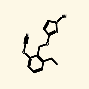 CCc1cccc(OC#N)c1COc1ccn(S)n1